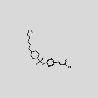 CCCCCCC1CCC(C(F)(F)Oc2ccc(/C=C/C(=O)O)cc2)CC1